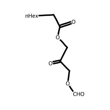 CCCCCCCC(=O)OCC(=O)COC=O